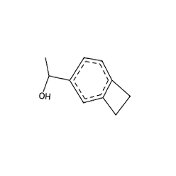 CC(O)c1ccc2c(c1)CC2